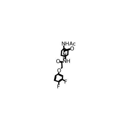 CC(=O)NC12CCC(NC(=O)COc3ccc(F)c(F)c3)(CC1)NC2=O